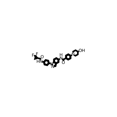 O=C(Nc1ccc2c(cnn2-c2ccc(NC(=O)C3CC3(F)F)cc2)c1)c1ccc(N2CCC(O)CC2)cc1